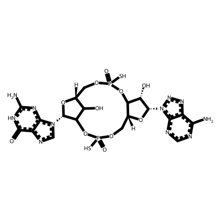 Nc1nc2c(ncn2[C@@H]2O[C@@H]3COP(=O)(S)OC4[C@@H](COP(=O)(S)OC2C3O)O[C@@H](n2nnc3c(N)ncnc32)[C@H]4O)c(=O)[nH]1